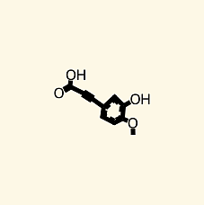 COc1ccc(C#CC(=O)O)cc1O